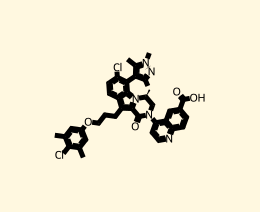 Cc1cc(OCCCc2c3n(c4c(-c5c(C)nn(C)c5C)c(Cl)ccc24)[C@H](C)CN(c2ccnc4ccc(C(=O)O)cc24)C3=O)cc(C)c1Cl